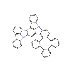 c1ccc2c(c1)-c1ccccc1-c1ccc3c(c1-c1ccccc1-2)c1cc2c(c4cccc5c6ccccc6n2c54)c2c4ccccc4n3c12